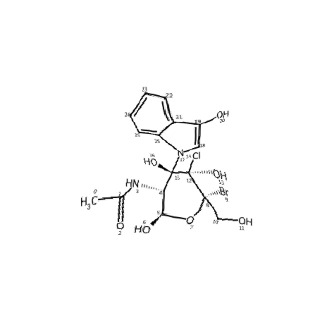 CC(=O)N[C@H]1[C@H](O)O[C@](Br)(CO)[C@](O)(Cl)[C@@]1(O)n1cc(O)c2ccccc21